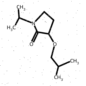 CC(C)COC1CCN(C(C)C)C1=O